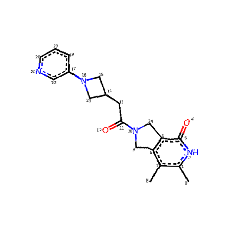 Cc1[nH]c(=O)c2c(c1C)CN(C(=O)CC1CN(c3cccnc3)C1)C2